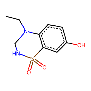 CCN1CNS(=O)(=O)c2cc(O)ccc21